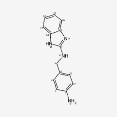 Nc1ccc(CNc2nc3ccccc3[nH]2)cc1